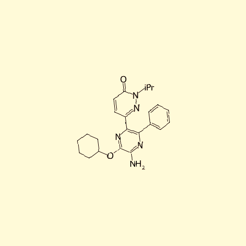 CC(C)n1nc(-c2nc(OC3CCCCC3)c(N)nc2-c2ccccc2)ccc1=O